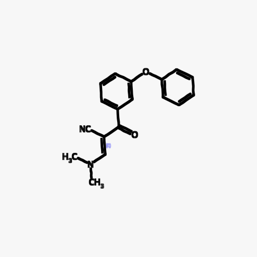 CN(C)/C=C(\C#N)C(=O)c1cccc(Oc2ccccc2)c1